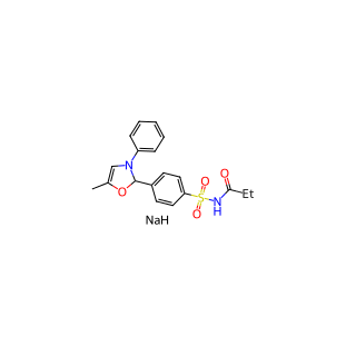 CCC(=O)NS(=O)(=O)c1ccc(C2OC(C)=CN2c2ccccc2)cc1.[NaH]